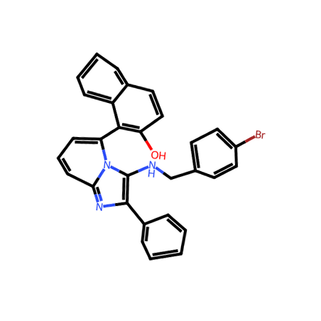 Oc1ccc2ccccc2c1-c1cccc2nc(-c3ccccc3)c(NCc3ccc(Br)cc3)n12